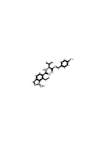 CCc1c(C(=O)N[C@H](C(=O)OCc2ccc(F)cc2)C(C)C)ccc2c1B(O)OC2